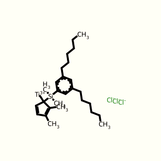 CCCCCCc1cc(CCCCCC)cc([Si](C)(C)[C]2([Ti+3])C=CC(C)=C2C)c1.[Cl-].[Cl-].[Cl-]